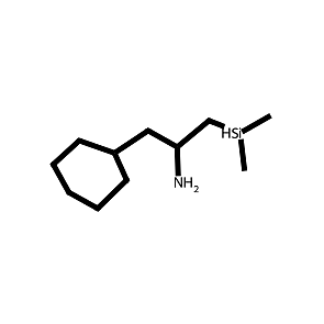 C[SiH](C)CC(N)CC1CCCCC1